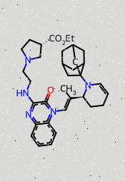 CCOC(=O)[C@H]1CCN(CCNc2nc3ccccc3n(/C=C(\C)[C@@H]3CCC=CN3C34CC5CC(CC3C5)C4)c2=O)C1